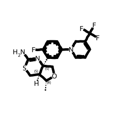 C[C@H]1OC[C@]2(c3cc(N4C=CC=C(C(F)(F)F)C4)ccc3F)N=C(N)SC[C@H]12